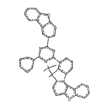 CC(C)(C)C1(C)c2ccc3oc4ccccc4c3c2-c2cccc(-c3nc(-c4ccccc4)nc(-c4ccc5oc6ccccc6c5c4)n3)c21